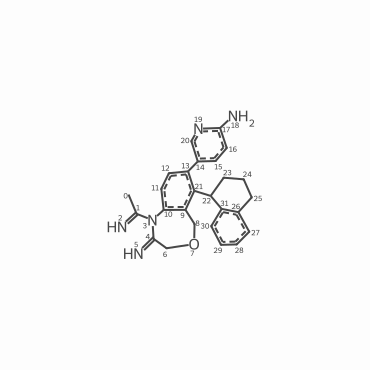 CC(=N)N1C(=N)COCc2c1ccc(-c1ccc(N)nc1)c2C1CCCc2ccccc21